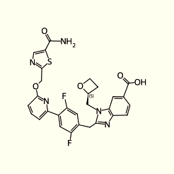 NC(=O)c1cnc(COc2cccc(-c3cc(F)c(Cc4nc5ccc(C(=O)O)cc5n4C[C@@H]4CCO4)cc3F)n2)s1